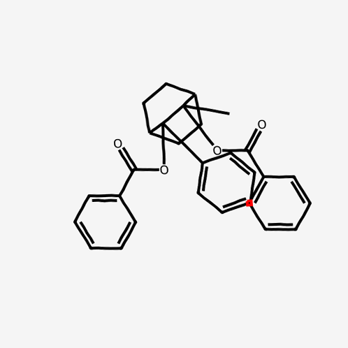 CC1(OC(=O)c2ccccc2)C2CCC(CC2)C1(OC(=O)c1ccccc1)c1ccccc1